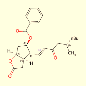 CCCC[C@H](C)CC(=O)/C=C/[C@@H]1[C@H]2CC(=O)O[C@H]2C[C@H]1OC(=O)c1ccccc1